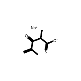 C=C(C)C(=O)C(C)C([O-])=S.[Na+]